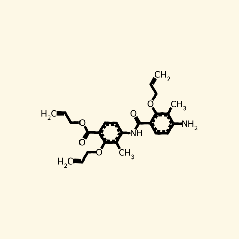 C=CCOC(=O)c1ccc(NC(=O)c2ccc(N)c(C)c2OCC=C)c(C)c1OCC=C